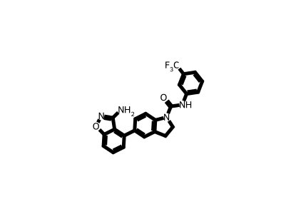 Nc1noc2cccc(-c3ccc4c(c3)CCN4C(=O)Nc3cccc(C(F)(F)F)c3)c12